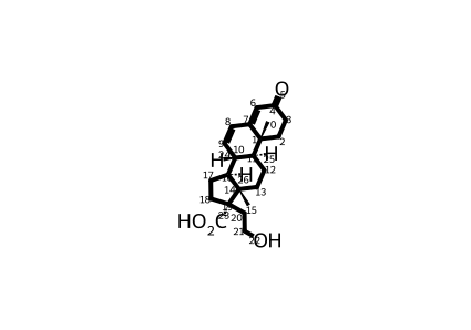 C[C@]12CCC(=O)C=C1C=C[C@@H]1[C@@H]2CC[C@@]2(C)[C@H]1CC[C@@]2(CCO)C(=O)O